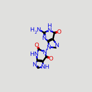 Nc1nc2c(ncn2-n2c(=O)[nH]c3nc[nH]c3c2=O)c(=O)[nH]1